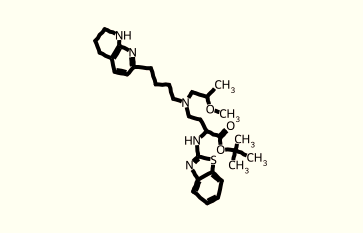 COC(C)CN(CCCCc1ccc2c(n1)NCCC2)CCC(Nc1nc2ccccc2s1)C(=O)OC(C)(C)C